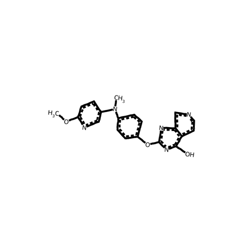 COc1ccc(N(C)c2ccc(Oc3nc(O)c4ccncc4n3)cc2)cn1